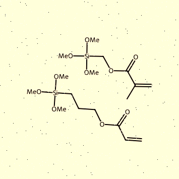 C=C(C)C(=O)OC[Si](OC)(OC)OC.C=CC(=O)OCCC[Si](OC)(OC)OC